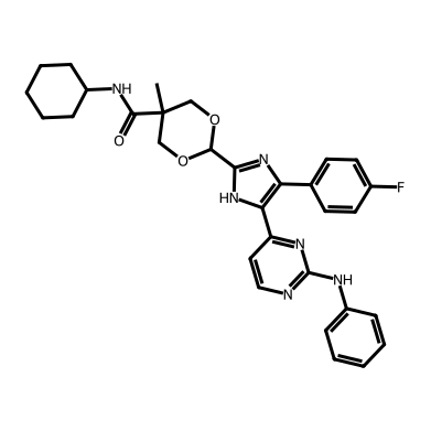 CC1(C(=O)NC2CCCCC2)COC(c2nc(-c3ccc(F)cc3)c(-c3ccnc(Nc4ccccc4)n3)[nH]2)OC1